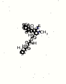 C/C=C1\CC[C@H](NC(=O)COCC(=N)C(=O)CNC(=O)C(N)CC2=CC=CCC2)c2c3c(nc(/C=C/F)c21)-c1cc2c(c(=O)n1C3)COC(=O)[C@@]2(CC)N=O